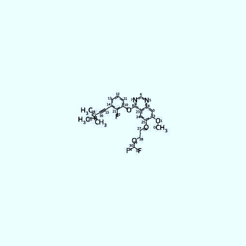 COc1cc2ncnc(Oc3cccc(C#C[Si](C)(C)C)c3F)c2cc1OCCOC(F)F